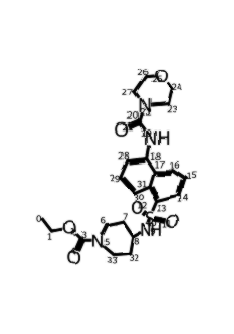 CCOC(=O)N1CCC(NS(=O)(=O)c2cccc3c(NC(=O)N4CCOCC4)cccc23)CC1